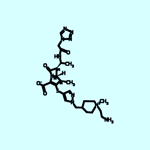 CC(NC(=O)Cn1cnnn1)[C@H]1C(=O)N2C(C(=O)[O-])=C(Sc3cnn(CC4CC[N+](C)(CCN)CC4)c3)[C@H](C)[C@H]12